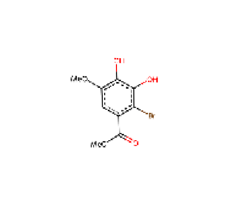 COC(=O)c1cc(OC)c(O)c(O)c1Br